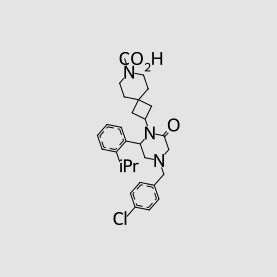 CC(C)c1ccccc1C1CN(Cc2ccc(Cl)cc2)CC(=O)N1C1CC2(CCN(C(=O)O)CC2)C1